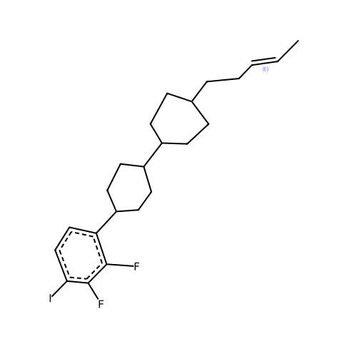 C/C=C/CCC1CCC(C2CCC(c3ccc(I)c(F)c3F)CC2)CC1